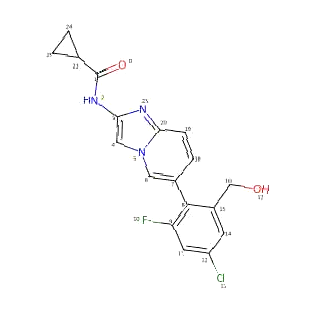 O=C(Nc1cn2cc(-c3c(F)cc(Cl)cc3CO)ccc2n1)C1CC1